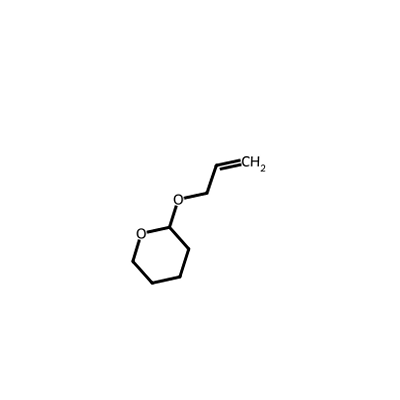 C=CCOC1CCCCO1